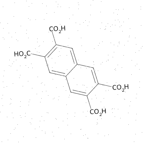 O=C(O)c1cc2cc(C(=O)O)c(C(=O)O)cc2cc1C(=O)O